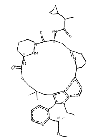 CCn1c(-c2cccnc2[C@H](C)OC)c2c3cc(ccc31)C1CSC(=N1)C[C@H](NC(=O)N(C)C1CC1)C(=O)N1CCC[C@H](N1)C(=O)OCC(C)(C)C2